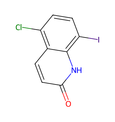 O=c1ccc2c(Cl)ccc(I)c2[nH]1